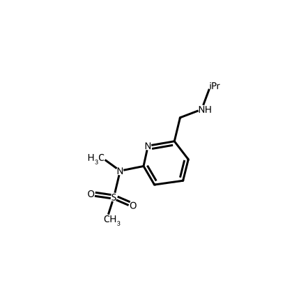 CC(C)NCc1cccc(N(C)S(C)(=O)=O)n1